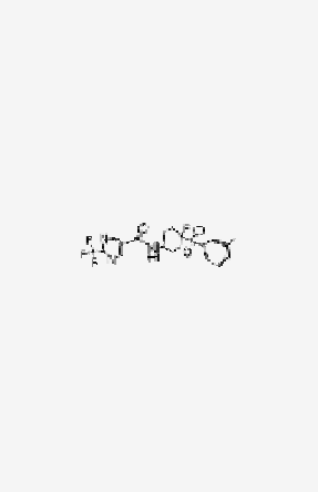 Cc1cccc(S(=O)(=O)C2(F)CCC(NC(=O)c3cnc(C(F)(F)F)nc3)CC2)c1